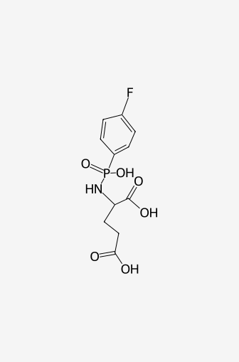 O=C(O)CCC(NP(=O)(O)c1ccc(F)cc1)C(=O)O